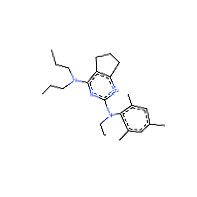 CCCN(CCC)c1nc(N(CC)c2c(C)cc(C)cc2C)nc2c1CCC2